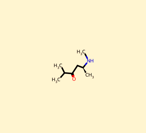 CN[C@@H](C)CC(=O)C(C)C